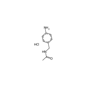 CC(=O)NCc1ccc(N)cc1.Cl